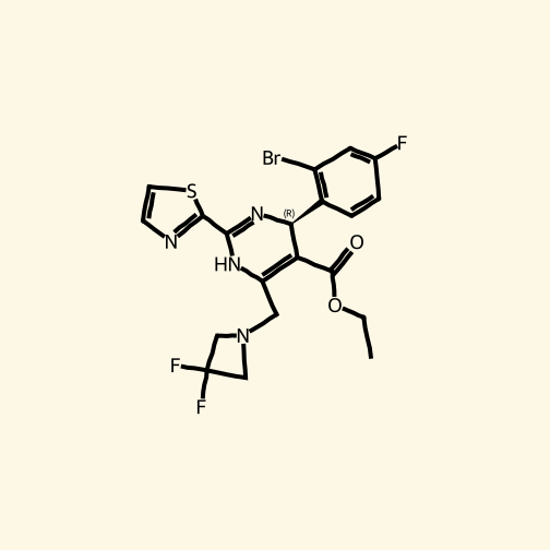 CCOC(=O)C1=C(CN2CC(F)(F)C2)NC(c2nccs2)=N[C@H]1c1ccc(F)cc1Br